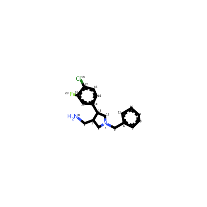 NCC1CN(Cc2ccccc2)CC1c1ccc(Cl)c(F)c1